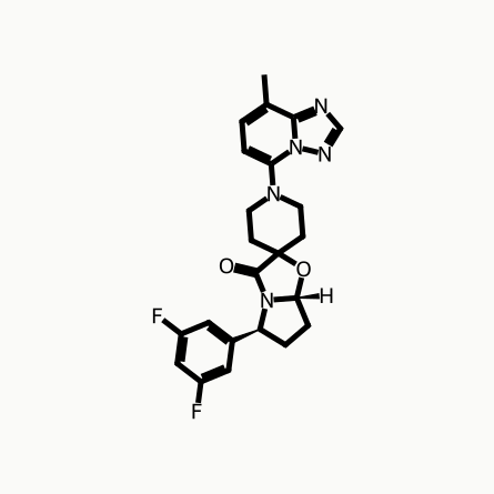 Cc1ccc(N2CCC3(CC2)O[C@@H]2CC[C@@H](c4cc(F)cc(F)c4)N2C3=O)n2ncnc12